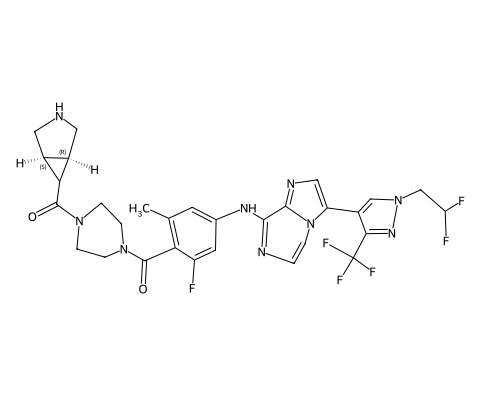 Cc1cc(Nc2nccn3c(-c4cn(CC(F)F)nc4C(F)(F)F)cnc23)cc(F)c1C(=O)N1CCN(C(=O)C2[C@H]3CNC[C@@H]23)CC1